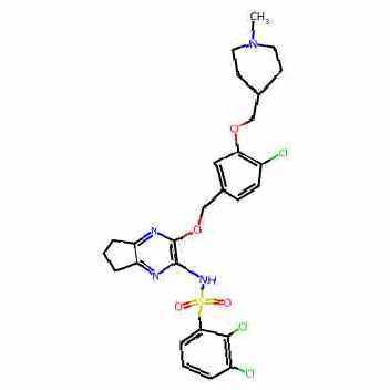 CN1CCC(COc2cc(COc3nc4c(nc3NS(=O)(=O)c3cccc(Cl)c3Cl)CCC4)ccc2Cl)CC1